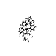 CCC[C@H](C(C)=O)N1C(=O)CO[C@@H](c2ccc(Cl)cc2)[C@H]1C#Cc1ccccc1NC(C)=O